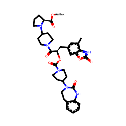 CCCCCCOC(=O)[C@@H]1CCCN1C1CCN(C(=O)[C@@H](Cc2cc(C)c3[nH]c(=O)oc3c2)OC(=O)N2CCC(N3CCc4ccccc4NC3=O)CC2)CC1